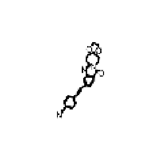 N#Cc1ccc(C#Cc2ccc3c(=O)n4c(nc3c2)CCC2(CC4)OCCO2)cc1